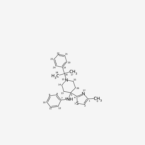 Cc1csc(C2(Nc3ccccc3)CCN(C(C)(C)c3ccccc3)CC2)n1